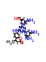 Cc1cc(=O)oc2cc(Nc3nc(N4C[C@H](N)C[C@H](N)C4)nc(N4C[C@H](N)C[C@H](O)C4)n3)ccc12